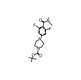 CN(C)C(=O)c1c(F)cc(N2CCN(C(=O)OC(C)(C)C)CC2)cc1F